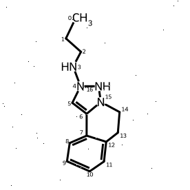 CCCNN1C=C2c3ccccc3CCN2N1